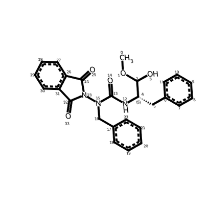 COC(O)[C@H](Cc1ccccc1)NC(=O)N(Cc1ccccc1)N1C(=O)c2ccccc2C1=O